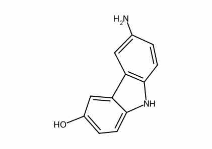 Nc1ccc2[nH]c3ccc(O)cc3c2c1